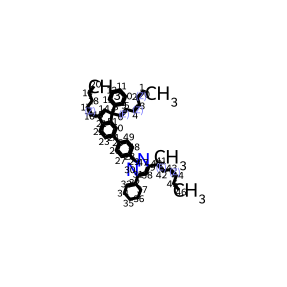 C\C=C/C=C\C=C\C1(c2ccccc2)C=C(/C=C\CCC)c2ccc(-c3ccc(-c4nc(C5=CCCCC5)cc(/C(C)=C/C=C\CC)n4)cc3)cc21